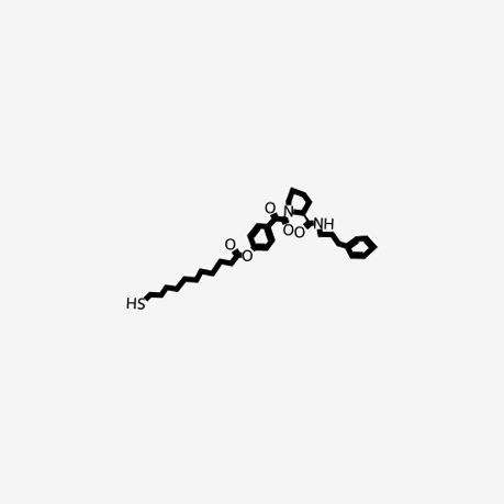 O=C(CCCCCCCCCCS)Oc1ccc(C(=O)C(=O)N2CCCC[C@H]2C(=O)NCCCc2ccccc2)cc1